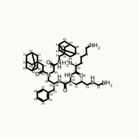 NCCCC[C@H](N)C(=O)N[C@@H](CCCNCN)C(=O)N[C@@H](Cc1ccccc1)CN(CC(=O)NCC12CC3CC(CC(C3)C1)C2)C(=O)CC12CC3CC(CC(C3)C1)C2